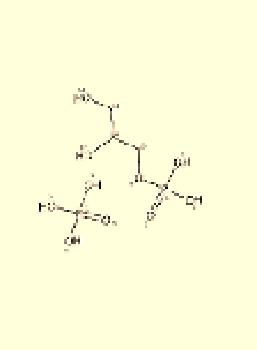 O=P(O)(O)O.O=P(O)(O)OCC(O)CO